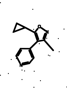 Cc1noc(C2CC2)c1-c1ccncc1